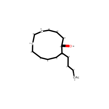 CC(=O)OCCCC1CCCCCCCCCCC1=O